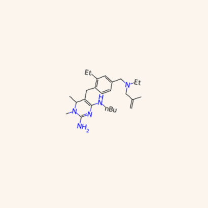 C=C(C)CN(CC)Cc1ccc(CC2=C(NCCCC)N=C(N)N(C)C2C)c(CC)c1